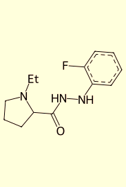 CCN1CCCC1C(=O)NNc1ccccc1F